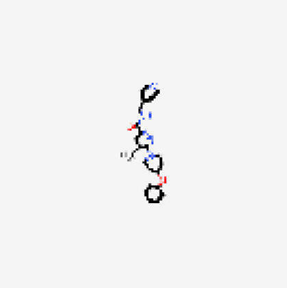 Cc1cc(C(=O)NCc2ccncc2)nnc1N1CCC(Oc2ccccc2)CC1